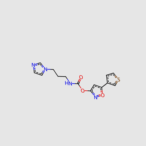 O=C(NCCCn1ccnc1)Oc1cc(-c2ccsc2)on1